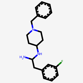 NC(Cc1cccc(F)c1)NC1CCN(Cc2ccccc2)CC1